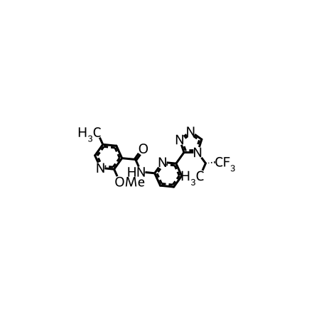 COc1ncc(C)cc1C(=O)Nc1cccc(-c2nncn2[C@@H](C)C(F)(F)F)n1